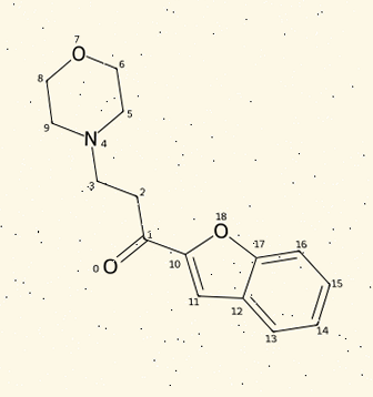 O=C(CCN1CCOCC1)c1cc2ccccc2o1